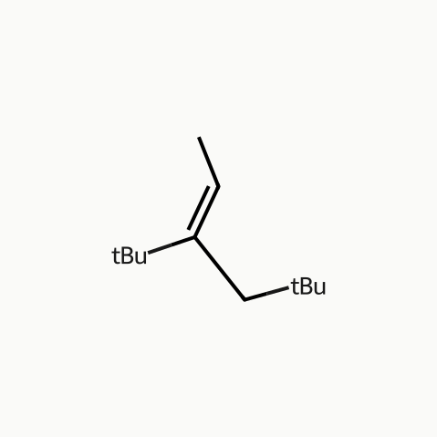 CC=C(CC(C)(C)C)C(C)(C)C